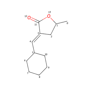 CC1C/C(=C\C2CCCCC2)C(=O)O1